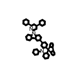 c1ccc(-c2cc(-c3ccccc3)nc(-n3c4ccccc4c4cc(-c5ccc6c(c5)N(c5ccccc5)c5ccccc5C65c6ccccc6-c6ccccc65)ccc43)c2)cc1